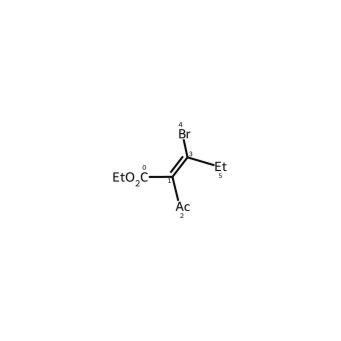 CCOC(=O)C(C(C)=O)=C(Br)CC